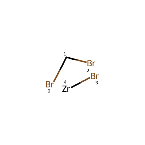 BrCBr.[Br][Zr]